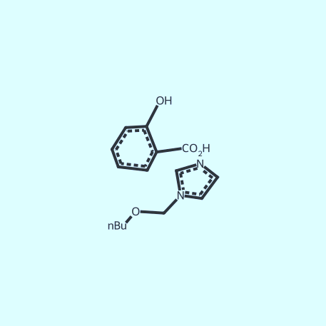 CCCCOCn1ccnc1.O=C(O)c1ccccc1O